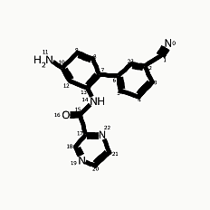 N#Cc1cccc(-c2ccc(N)cc2NC(=O)c2cnccn2)c1